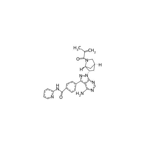 C=C(C)C(=O)N1C[C@@H]2C[C@@H]1[C@@H](n1nc(-c3ccc(C(=O)Nc4ccccn4)cc3)c3c(N)ncnc31)C2